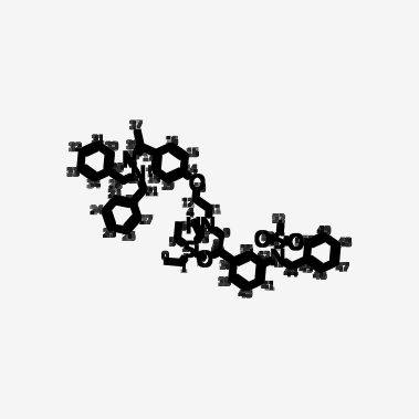 CC[Si](CC)(CC)O[C@@H](CNCCOc1ccc2c(c1)[N+](Cc1ccccc1)(Cc1ccccc1)N=C2C)c1cccc(N(Cc2ccccc2)S(C)(=O)=O)c1